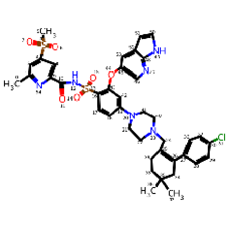 Cc1cc(S(C)(=O)=O)cc(C(=O)NS(=O)(=O)c2ccc(N3CCN(CC4=C(c5ccc(Cl)cc5)CC(C)(C)CC4)CC3)cc2Oc2cnc3[nH]ccc3c2)n1